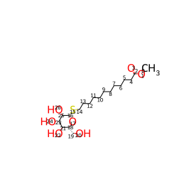 COC(=O)CCCCCCCCCCCS[C@@H]1O[C@H](CO)[C@@H](O)[C@H](O)[C@H]1O